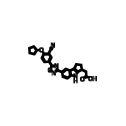 N#Cc1cc(-c2nc(-c3ccc4[nH]c5c(c4c3)CCC5CC(=O)O)no2)ccc1OC1CCCC1